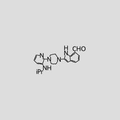 CC(C)Nc1cccnc1N1CCN(c2cc3cccc(C=O)c3[nH]2)CC1